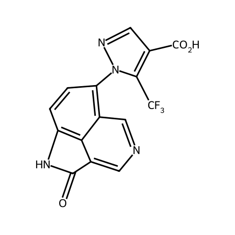 O=C(O)c1cnn(-c2ccc3c4c(cncc24)C(=O)N3)c1C(F)(F)F